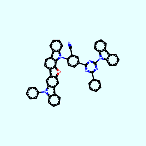 N#Cc1cc(-c2nc(-c3ccccc3)nc(-n3c4ccccc4c4ccccc43)n2)ccc1-n1c2ccccc2c2ccc3c4cc5c(cc4oc3c21)c1ccccc1n5-c1ccccc1